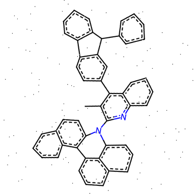 Cc1c(N2c3ccc4ccccc4c3-c3cccc4cccc2c34)nc2ccccc2c1-c1ccc2c(c1)C(c1ccccc1)c1ccccc1-2